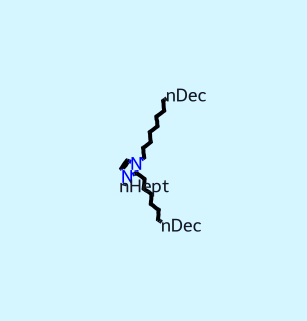 CCCCCCCCCCCCCCCCCCN1C=CN(CCCCCCC)C1CCCCCCCCCCCCCCCC